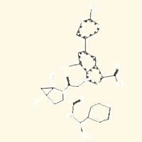 CC(=O)c1nn(CC(=O)N2[C@H](C(=O)N[C@H](C)C3CCCCC3)C[C@@]3(C)C[C@@H]23)c2c(C)cc(-c3cnc(C)nc3)cc12